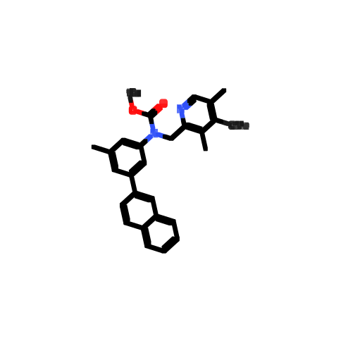 COc1c(C)cnc(CN(C(=O)OC(C)(C)C)c2cc(C)cc(-c3ccc4ccccc4c3)c2)c1C